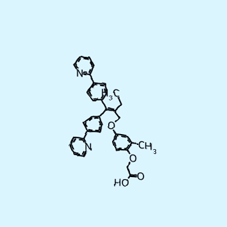 CCC(COc1ccc(OCC(=O)O)c(C)c1)=C(c1ccc(-c2ccccn2)cc1)c1ccc(-c2ccccn2)cc1